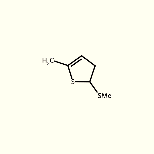 CSC1CC=C(C)S1